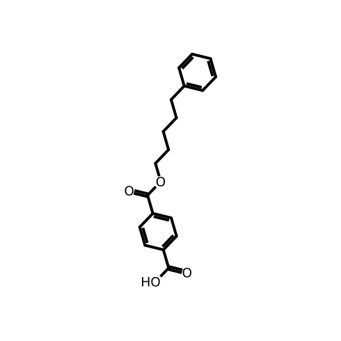 O=C(O)c1ccc(C(=O)OCCCCCc2ccccc2)cc1